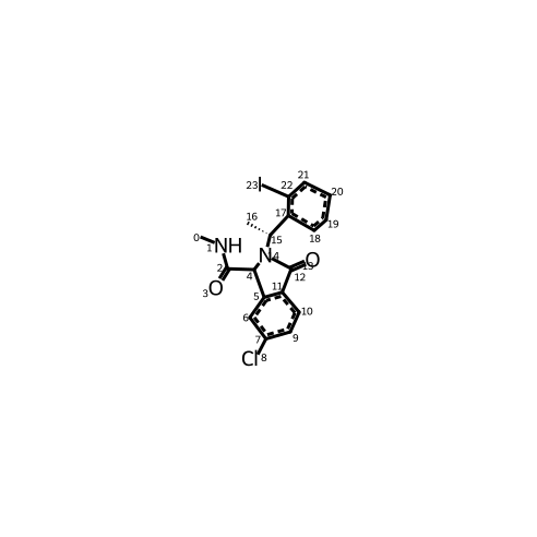 CNC(=O)C1c2cc(Cl)ccc2C(=O)N1[C@H](C)c1ccccc1I